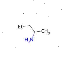 [CH2]CC[C](C)N